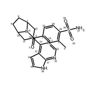 Cc1cc(C(=O)N2C3CCC2CN(c2ncnc4[nH]ccc24)C3)ccc1S(N)(=O)=O